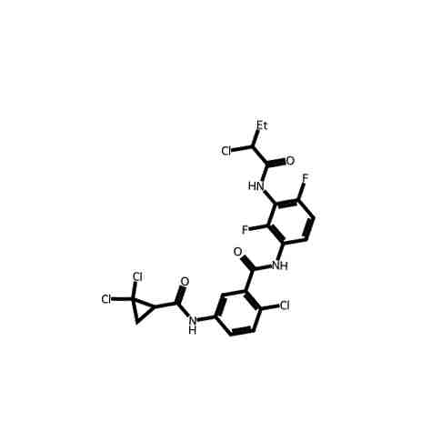 CCC(Cl)C(=O)Nc1c(F)ccc(NC(=O)c2cc(NC(=O)C3CC3(Cl)Cl)ccc2Cl)c1F